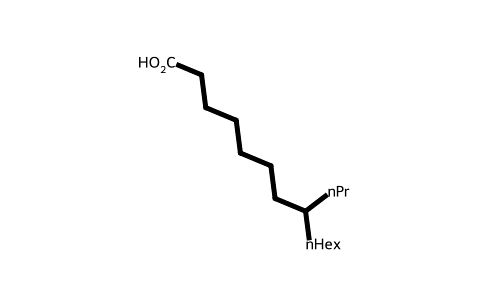 CCCCCCC(CCC)CCCCCCC(=O)O